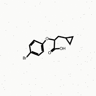 O=C(O)C(CC1CC1)Oc1ccc(Br)cc1